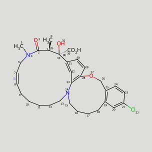 C[C@@H]1C(=O)N(C)C/C=C\CCCCCN2CCCCc3cc(Cl)ccc3COc3ccc(cc32)[C@@]1(O)C(=O)O